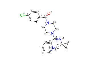 O=C(c1ccc(Cl)cc1)N1CCN(/C(=N/C2(C(=O)O)CC2)c2ccccn2)CC1